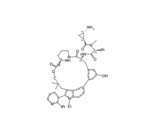 CCn1c(-c2cccnc2C(C)C)c2c3cc(ccc31)-c1cc(O)cc(c1)C[C@H](NC(=O)[C@H](C(C)C)N(C)C(=O)[C@H]1C[C@@H]1N)C(=O)N1CCC[C@H](N1)C(=O)OCC(C)(C)C2